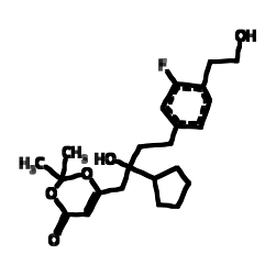 CC1(C)OC(=O)C=C(CC(O)(CCc2ccc(CCO)c(F)c2)C2CCCC2)O1